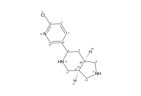 Clc1ccc(C2C[C@H]3CNC[C@H]3CN2)cn1